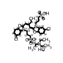 CCC(=Cc1oc2ccc(Cl)cc2[n+]1CCCS(=O)(=O)O)C=C1Oc2ccc(Cl)cc2N1CCCS(=O)(=O)O.CCN(CC)CC.[OH-]